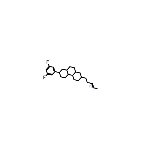 C/C=C/CCC1CCC2C(CCC3CC(c4cc(F)cc(F)c4)CCC32)C1